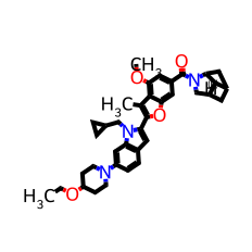 CCOC1CCN(c2ccc3cc(-c4oc5cc(C(=O)N6CC7CC8CC6[C@H]87)cc(OC)c5c4C)n(CC4CC4)c3c2)CC1